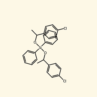 CC(O[Si](OC(C)c1ccc(Cl)cc1)(c1ccccc1)c1ccccc1)c1ccc(Cl)cc1